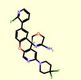 NC1=N[C@@]2(COC1)c1cc(-c3cccnc3F)ccc1Oc1cnc(N3CCC(F)(F)CC3)cc12